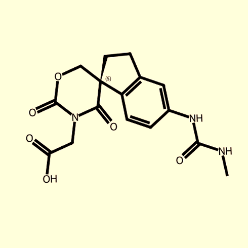 CNC(=O)Nc1ccc2c(c1)CC[C@@]21COC(=O)N(CC(=O)O)C1=O